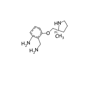 C[C@@]1(COc2cccc(N)c2CN)CCCN1